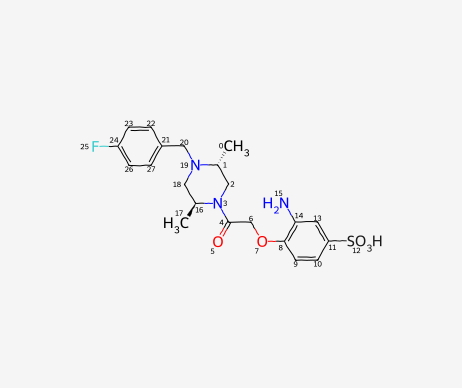 C[C@@H]1CN(C(=O)COc2ccc(S(=O)(=O)O)cc2N)[C@@H](C)CN1Cc1ccc(F)cc1